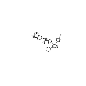 CC(O)Nc1ccc(NC(=O)c2ccc(-c3c(-c4ccc(F)cc4)ncn3C3CCCCC3)o2)cc1